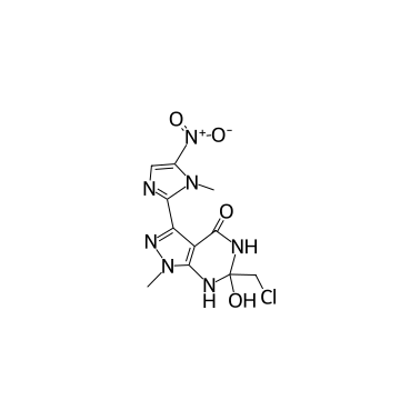 Cn1nc(-c2ncc([N+](=O)[O-])n2C)c2c1NC(O)(CCl)NC2=O